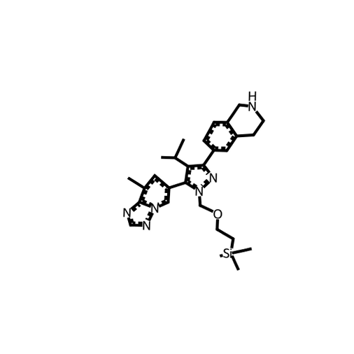 Cc1cc(-c2c(C(C)C)c(-c3ccc4c(c3)CCNC4)nn2COCC[Si](C)(C)C)cn2ncnc12